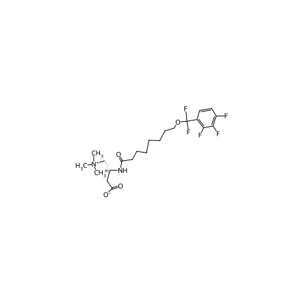 C[N+](C)(C)C[C@@H](CC(=O)[O-])NC(=O)CCCCCCCOC(F)(F)c1ccc(F)c(F)c1F